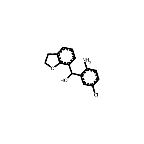 Nc1ccc(Cl)cc1C(O)c1cccc2c1OCC2